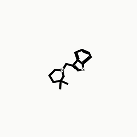 CC1(C)CCCN(Cc2csc3ccccc23)C1